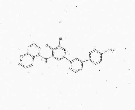 CCn1nc(-c2cccc(-c3ccc(C(=O)O)cc3)c2)cc(Nc2cccc3ncccc23)c1=O